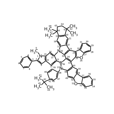 Cn1c(-c2ccccc2)cc2cc3c(cc21)-n1c2cc4c(cc2c2c5c(oc6ccccc65)c5c(c21)B3N(c1ccc(C(C)(C)C)cc1)c1cc2oc3ccccc3c2cc1-5)C(C)(C)CCC4(C)C